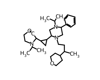 CC(CCN1CC(c2ccccc2)N(C(C)C)CC1C1CC1C1COCCN1C(C)C)C1CCOCC1